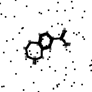 O=C(O)c1ccc2c(c1)CNCCC2